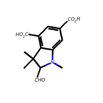 CN1c2cc(C(=O)O)cc(C(=O)O)c2C(C)(C)C1C=O